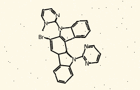 CN1C=CC=NC1n1c2c(c3ccccc31)C1C(C=C2Br)c2ccccc2N1c1ncccn1